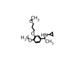 COCCCOc1cc(C(C)NC2CC2)ccc1OC